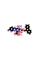 O=C(NNC(=O)C(Cc1ccc(I)cc1)NC(=O)C(=O)O)OCC1c2ccccc2-c2ccccc21